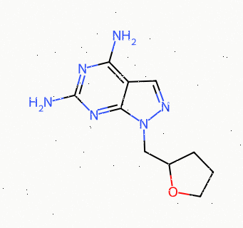 Nc1nc(N)c2cnn(CC3CCCO3)c2n1